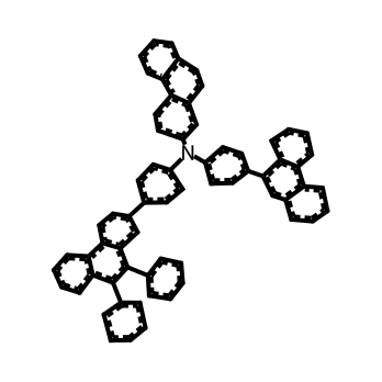 c1ccc(-c2c(-c3ccccc3)c3cc(-c4ccc(N(c5ccc(-c6cc7ccccc7c7ccccc67)cc5)c5ccc6c(ccc7ccccc76)c5)cc4)ccc3c3ccccc23)cc1